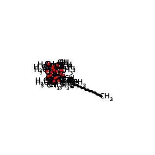 CC(C)[Si](c1c(F)c(F)c([B-](c2c(F)c(F)c([Si](C(C)C)(C(C)C)C(C)C)c(F)c2F)(c2c(F)c(F)c([Si](C(C)C)(C(C)C)C(C)C)c(F)c2F)c2c(F)c(F)c([Si](C(C)C)(C(C)C)C(C)C)c(F)c2F)c(F)c1F)(C(C)C)C(C)C.CCCCCCCCCCCCCCCC[N+](C)(C)c1ccccc1